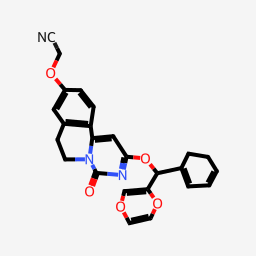 N#CCOc1ccc2c(c1)CCn1c-2cc(OC(C2=CC=CCC2)C2=COC=CO2)nc1=O